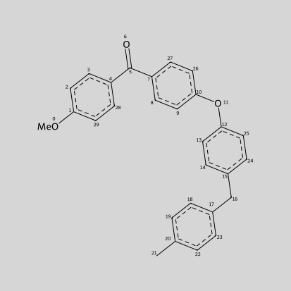 COc1ccc(C(=O)c2ccc(Oc3ccc(Cc4ccc(C)cc4)cc3)cc2)cc1